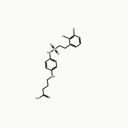 O=C(O)CCCNc1ccc(NS(=O)(=O)CCc2cccc(Cl)c2Cl)cc1